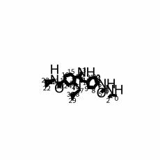 CC(C)NC(=O)Nc1ccc(-c2c(N)c3ccc(C(=O)NC4CC4)cc3n2CC2CC2)cc1